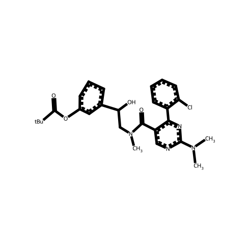 CN(CC(O)c1cccc(OC(=O)C(C)(C)C)c1)C(=O)c1cnc(N(C)C)nc1-c1ccccc1Cl